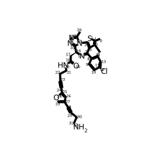 Cc1sc2c(c1C)C(c1ccc(Cl)cc1)=N[C@@H](CC(=O)NCCC#Cc1cc(C#CCCN)co1)c1nnc(C)n1-2